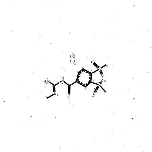 CN=C(N)NC(=O)c1ccc(S(C)(=O)=O)c(S(C)(=O)=O)c1.Cl.O